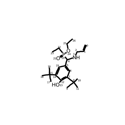 C=CCNC(c1cc(C(C)(C)C)c(O)c(C(C)(C)C)c1)P(=O)(CC)OCC